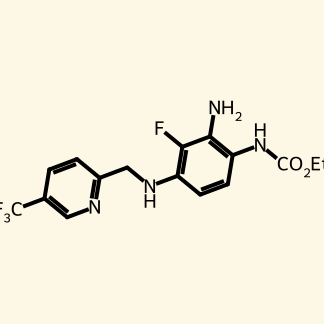 CCOC(=O)Nc1ccc(NCc2ccc(C(F)(F)F)cn2)c(F)c1N